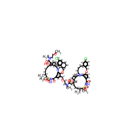 COCCN(C)C(=O)C[C@@]1(O)CCC[C@H](C)[C@@H](C)S(=O)(=O)NC(=O)c2cc(COCCN(C)C(=O)C[C@]3(O)CCC[C@H](C)[C@@H](C)S(=O)(=O)NC(=O)c4ccc5c(c4)N(CCCCc4cc(Cl)ccc4CO5)C[C@@H]4CC[C@H]43)c3c(c2)N(C[C@@H]2CC[C@H]21)C[C@@]1(CCCc2cc(Cl)ccc21)CO3